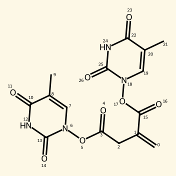 C=C(CC(=O)On1cc(C)c(=O)[nH]c1=O)C(=O)On1cc(C)c(=O)[nH]c1=O